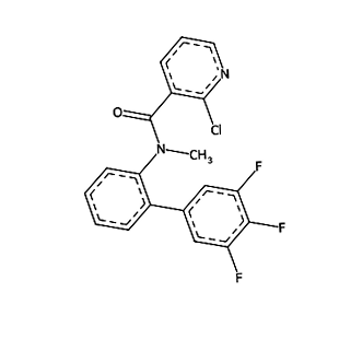 CN(C(=O)c1cccnc1Cl)c1ccccc1-c1cc(F)c(F)c(F)c1